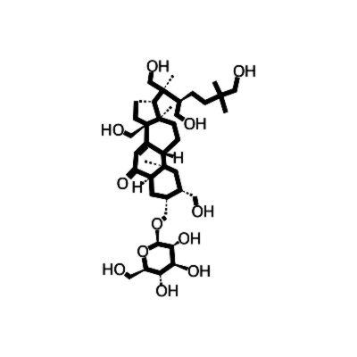 CC(C)(CO)CC[C@@H](CO)[C@](C)(CO)[C@H]1CC[C@@]2(CO)C3=CC(=O)[C@@H]4C[C@@H](CO[C@@H]5O[C@H](CO)[C@@H](O)[C@H](O)[C@H]5O)[C@@H](CO)C[C@]4(C)[C@H]3CC[C@]12C